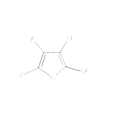 Fc1oc(C(F)(F)F)c(C(F)(F)F)c1F